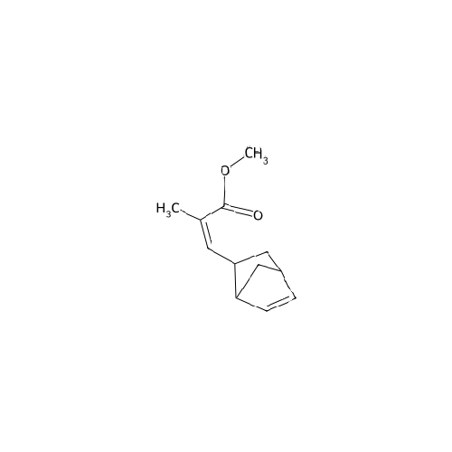 COC(=O)C(C)=CC1CC2C=CC1C2